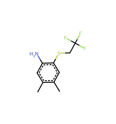 Cc1cc(N)c(SCC(F)(F)F)cc1C